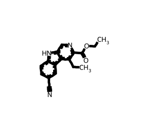 CCOC(=O)c1ncc2[nH]c3ccc(C#N)cc3c2c1CC